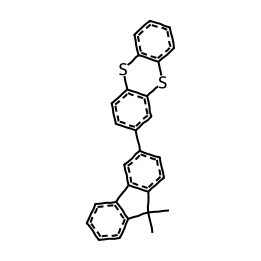 CC1(C)c2ccccc2-c2cc(-c3ccc4c(c3)Sc3ccccc3S4)ccc21